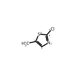 Cc1cnc(Cl)s1